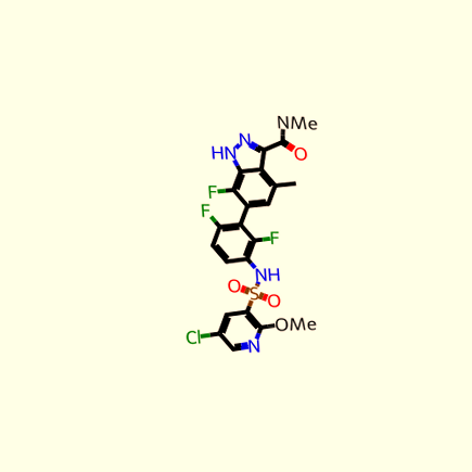 CNC(=O)c1n[nH]c2c(F)c(-c3c(F)ccc(NS(=O)(=O)c4cc(Cl)cnc4OC)c3F)cc(C)c12